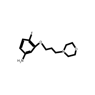 Nc1ccc(F)c(OCCCN2CCOCC2)c1